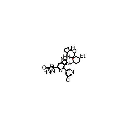 CC[C@H]1CC[C@H](Cn2c(N3CCO[C@H]4CCC[C@@H]43)nc3cc(-c4n[nH]c(=O)o4)nc(-c4cncc(Cl)c4)c32)CC1